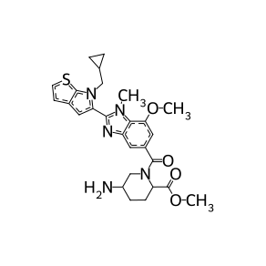 COC(=O)C1CCC(N)CN1C(=O)c1cc(OC)c2c(c1)nc(-c1cc3ccsc3n1CC1CC1)n2C